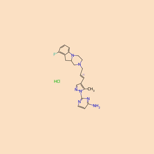 Cc1c(/C=C/CN2CCN3c4cccc(F)c4CC3C2)cnn1-c1nccc(N)n1.Cl